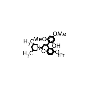 COc1cc(O)c(C(CC(=O)N2CC(C)CC(C)C2)c2cccc(OC(C)C)c2)c(OC)c1